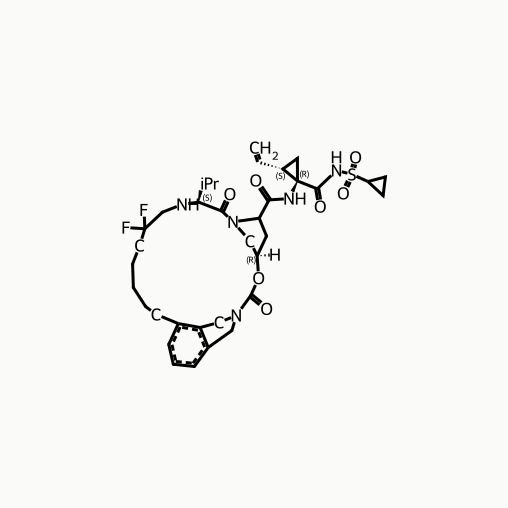 C=C[C@@H]1C[C@]1(NC(=O)C1C[C@@H]2CN1C(=O)[C@H](C(C)C)NCC(F)(F)CCCCCc1cccc3c1CN(C3)C(=O)O2)C(=O)NS(=O)(=O)C1CC1